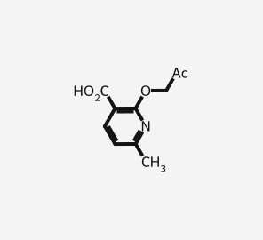 CC(=O)COc1nc(C)ccc1C(=O)O